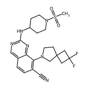 CS(=O)(=O)N1CCC(Nc2ncc3ccc(C#N)c(N4CCC5(C4)CC(F)(F)C5)c3n2)CC1